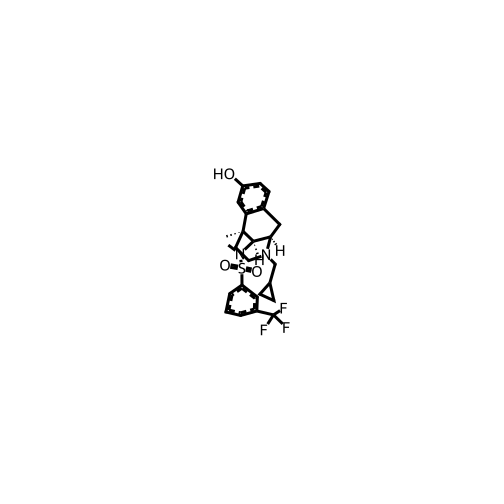 CN([C@@H]1[C@H]2Cc3ccc(O)cc3[C@]1(C)CCN2CC1CC1)S(=O)(=O)c1cccc(C(F)(F)F)c1